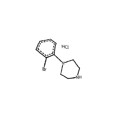 Brc1ccccc1N1CCNCC1.Cl